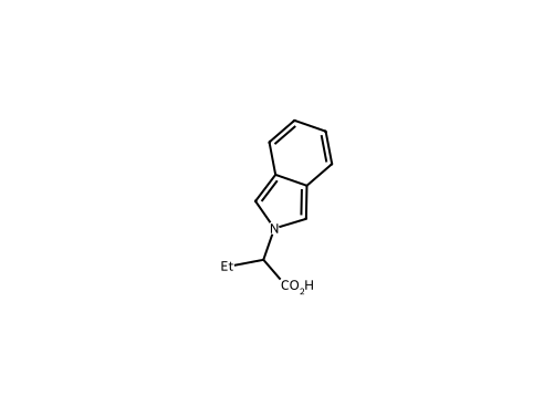 CCC(C(=O)O)n1cc2ccccc2c1